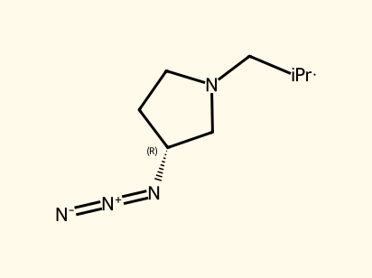 C[C](C)CN1CC[C@@H](N=[N+]=[N-])C1